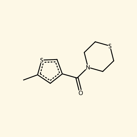 Cc1cc(C(=O)N2CCSCC2)cs1